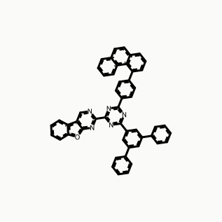 c1ccc(-c2cc(-c3ccccc3)cc(-c3nc(-c4ccc(-c5cccc6ccc7ccccc7c56)cc4)nc(-c4ncc5c(n4)oc4ccccc45)n3)c2)cc1